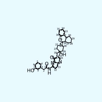 O=C(Cc1cccc(O)c1)Nc1ccc2ncn(CC3(O)CCN(C(=O)C4CCCCC4c4ccccc4)CC3)c(=O)c2n1